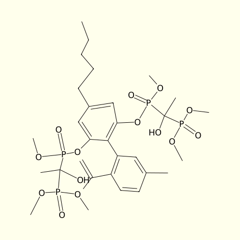 C=C(C)c1ccc(C)cc1-c1c(OP(=O)(OC)C(C)(O)P(=O)(OC)OC)cc(CCCCC)cc1OP(=O)(OC)C(C)(O)P(=O)(OC)OC